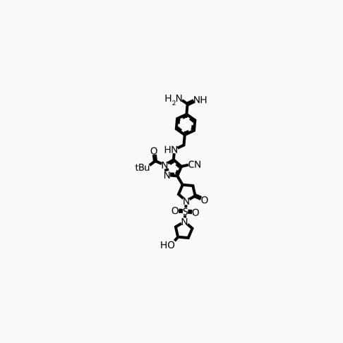 CC(C)(C)C(=O)n1nc(C2CC(=O)N(S(=O)(=O)N3CCC(O)C3)C2)c(C#N)c1NCc1ccc(C(=N)N)cc1